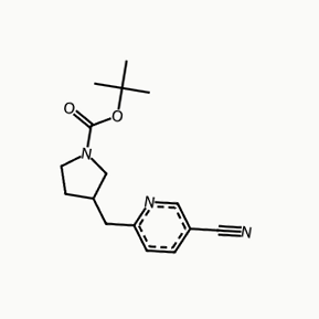 CC(C)(C)OC(=O)N1CCC(Cc2ccc(C#N)cn2)C1